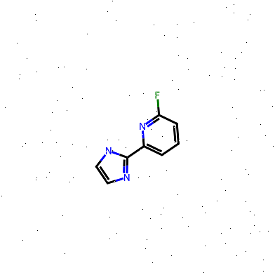 Fc1cccc(C2=NC=C[N]2)n1